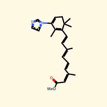 COC(=O)\C=C(C)/C=C/C=C(C)/C=C/C1=C(C)C(n2ccnc2)=CCC1(C)C